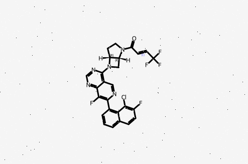 O=C(/C=C/C(F)(F)F)N1CC[C@@H]2[C@H]1CN2c1ncnc2c(F)c(-c3cccc4ccc(F)c(Cl)c34)ncc12